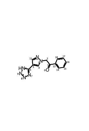 O=C(Cn1cc(-c2nnn[nH]2)cn1)c1ccccc1